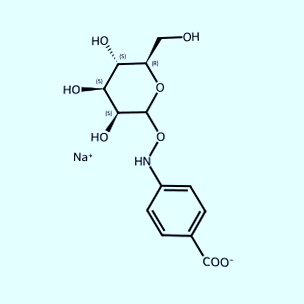 O=C([O-])c1ccc(NOC2O[C@H](CO)[C@@H](O)[C@H](O)[C@@H]2O)cc1.[Na+]